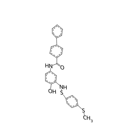 CSc1ccc(SNc2cc(NC(=O)c3ccc(-c4ccccc4)cc3)ccc2O)cc1